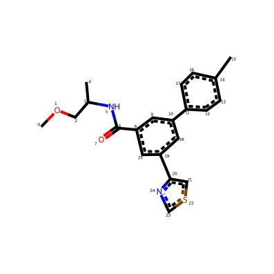 COCC(C)NC(=O)c1cc(-c2ccc(C)cc2)cc(-c2cscn2)c1